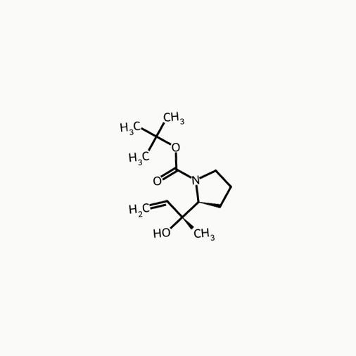 C=C[C@@](C)(O)[C@@H]1CCCN1C(=O)OC(C)(C)C